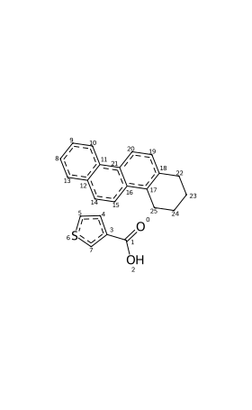 O=C(O)c1ccsc1.c1ccc2c(c1)ccc1c3c(ccc12)CCCC3